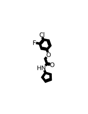 O=C(COc1ccc(Cl)c(F)c1)NC1CC=CC1